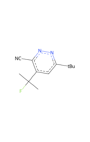 CC(C)(C)c1cc(C(C)(C)F)c(C#N)nn1